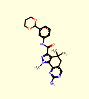 Cn1nc(C(=O)Nc2cccc(C3OCCCO3)c2)c2c1-c1nc(N)ncc1CC2(C)C